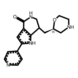 O=C1NCC(C[C@@H]2CNCCO2)c2[nH]c(-c3ccncc3)cc21